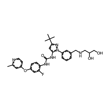 Cc1cc(Oc2ccc(NC(=O)Nc3cc(C(C)(C)C)nn3-c3cccc(CNCC(O)CO)c3)c(F)c2)ccn1